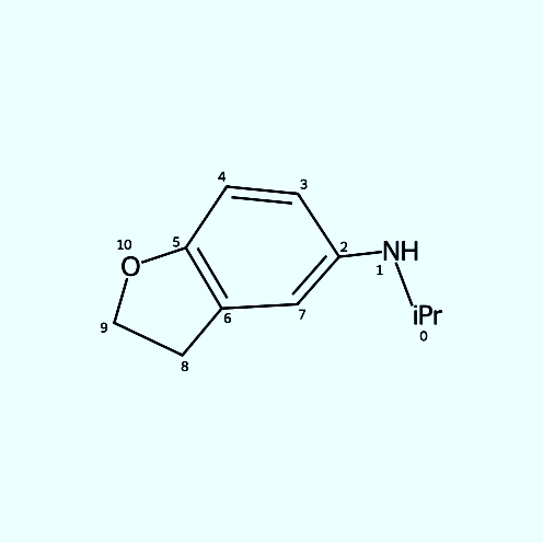 CC(C)Nc1ccc2c(c1)CCO2